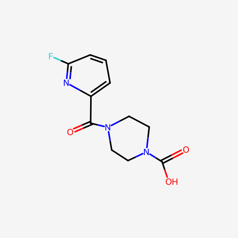 O=C(O)N1CCN(C(=O)c2cccc(F)n2)CC1